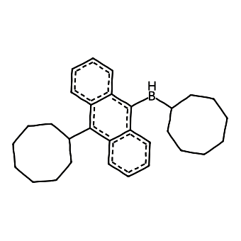 B(c1c2ccccc2c(C2CCCCCCC2)c2ccccc12)C1CCCCCCC1